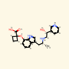 C[C@H](Cc1c[nH]c2c(OC3(C(=O)O)CCC3)cccc12)NC[C@H](O)c1cccnc1